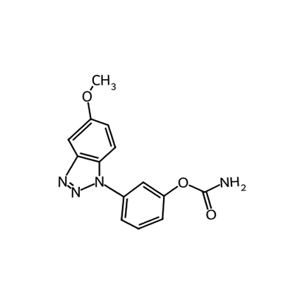 COc1ccc2c(c1)nnn2-c1cccc(OC(N)=O)c1